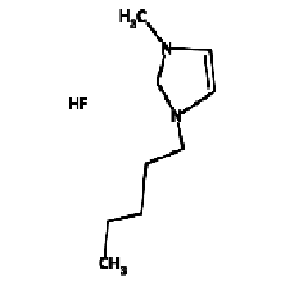 CCCCCN1C=CN(C)C1.F